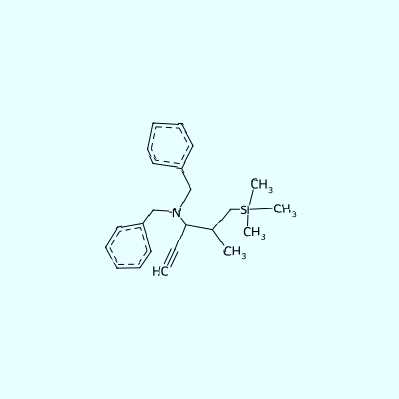 C#CC(C(C)C[Si](C)(C)C)N(Cc1ccccc1)Cc1ccccc1